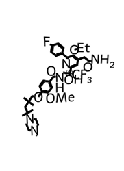 CCOc1c(CC(N)=O)cc([C@@](O)(CNC(=O)c2ccc(OCC(C)(C)CC(C)(C)N3CCN(C)CC3)c(OC)c2)C(F)(F)F)nc1-c1ccc(F)cc1